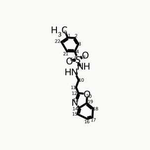 Cc1ccc(S(=O)(=O)NNCCc2nc3ccccc3o2)cc1